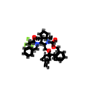 CC[Si](CC)(CC)OC[C@H]1[C@@H](N(Cc2ccccc2)C(=O)C(F)(F)F)[C@H]2CCC[C@H]2N1C(=O)OCc1ccccc1